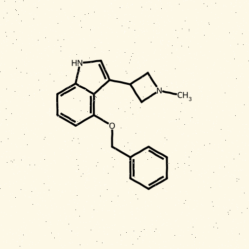 CN1CC(c2c[nH]c3cccc(OCc4ccccc4)c23)C1